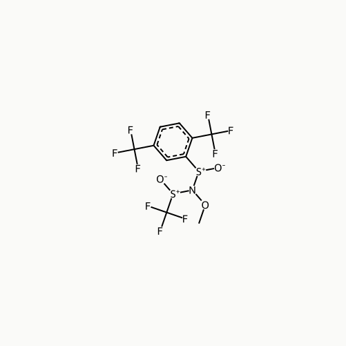 CON([S+]([O-])c1cc(C(F)(F)F)ccc1C(F)(F)F)[S+]([O-])C(F)(F)F